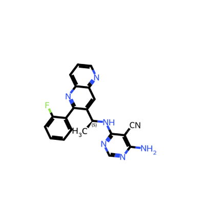 C[C@H](Nc1ncnc(N)c1C#N)c1cc2ncccc2nc1-c1ccccc1F